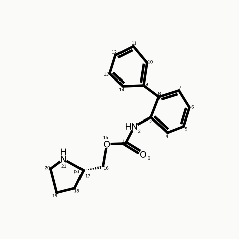 O=C(Nc1ccccc1-c1ccccc1)OC[C@@H]1CCCN1